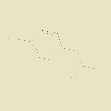 Oc1ccc(C=C(Br)Br)cc1